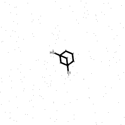 CCC12CCCC(S)(C1)C2